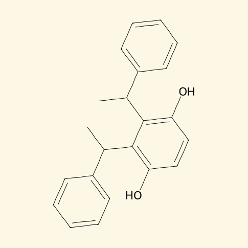 CC(c1ccccc1)c1c(O)ccc(O)c1C(C)c1ccccc1